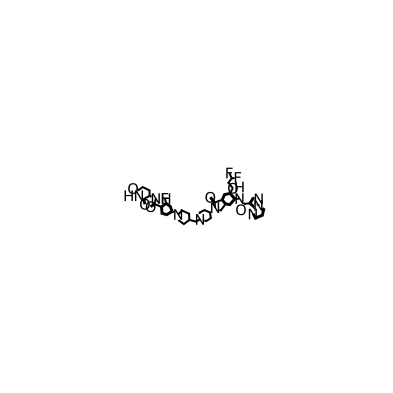 O=C1CCC(NC(=O)c2ccc(N3CCC(CN4CCC(N5Cc6cc(NC(=O)c7cnn8cccnc78)c(OCC(F)F)cc6C5=O)CC4)CC3)cc2F)C(=O)N1